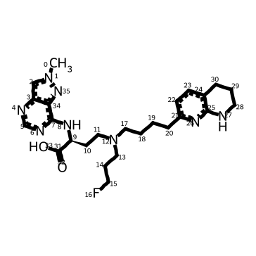 Cn1cc2ncnc(N[C@@H](CCN(CCCF)CCCCc3ccc4c(n3)NCCC4)C(=O)O)c2n1